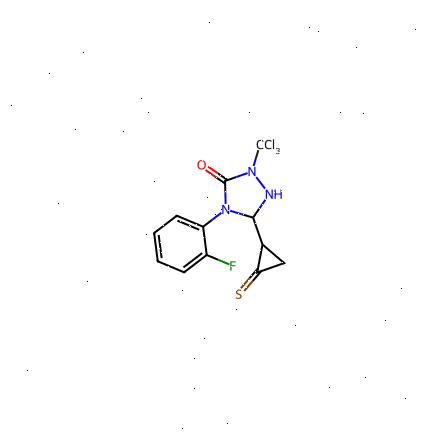 O=C1N(c2ccccc2F)C(C2CC2=S)NN1C(Cl)(Cl)Cl